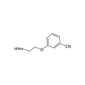 CCCCCCCCOc1cccc(C#N)c1